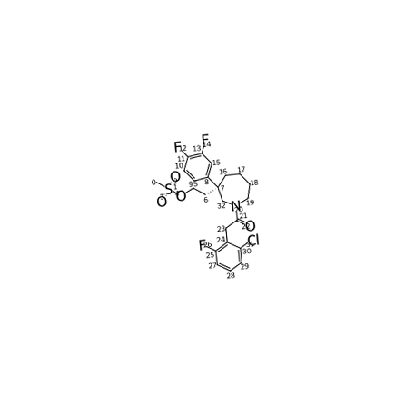 CS(=O)(=O)OCC[C@]1(c2ccc(F)c(F)c2)CCCCN(C(=O)Cc2c(F)cccc2Cl)C1